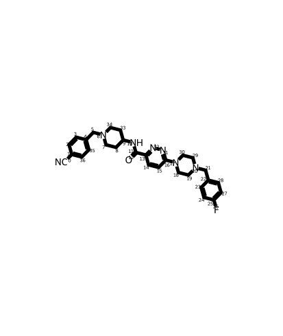 N#Cc1ccc(CN2CCC(NC(=O)c3ccc(N4CCN(Cc5ccc(F)cc5)CC4)nn3)CC2)cc1